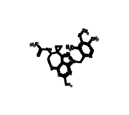 COc1c(C)cnc(Cn2nc3c4c(nc(N)nc42)SCC(NC(C)=O)C32CC2)c1C